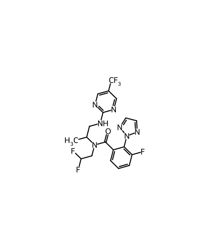 CC(CNc1ncc(C(F)(F)F)cn1)N(CC(F)F)C(=O)c1cccc(F)c1-n1nccn1